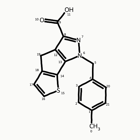 Cc1ccc(Cn2nc(C(=O)O)c3c2-c2sccc2C3)cc1